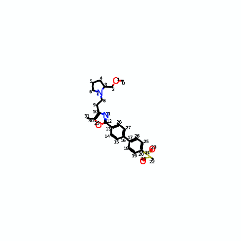 COCC1CCCN1CCc1nc(-c2ccc(-c3ccc(S(C)(=O)=O)cc3)cc2)oc1C